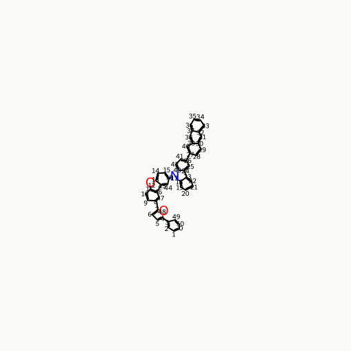 c1ccc(-c2ccc(-c3ccc4oc5ccc(-n6c7ccccc7c7cc(-c8ccc9cc%10ccccc%10cc9c8)ccc76)cc5c4c3)o2)cc1